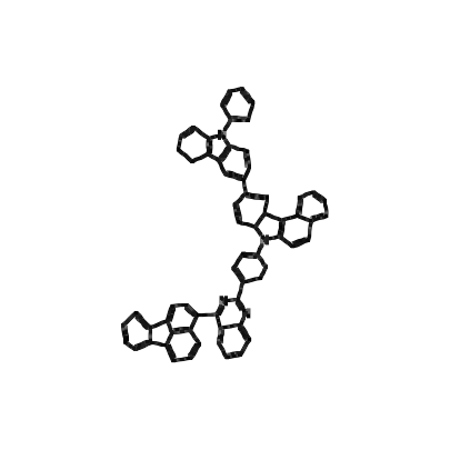 C1=Cc2c(c3cc(C4=CC5c6c(ccc7ccccc67)N(C6=CC=C(c7nc(-c8ccc9c%10c(cccc8%10)-c8ccccc8-9)c8ccccc8n7)CC6)C5C=C4)ccc3n2-c2ccccc2)CC1